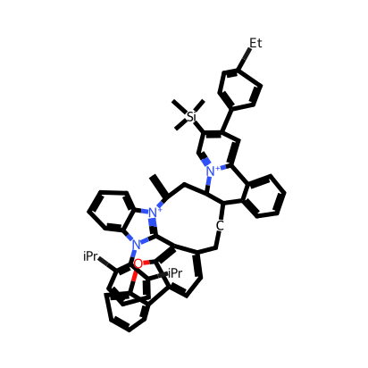 C=C1CC2C(CCc3ccc4c(oc5ccccc54)c3-c3n(-c4c(C(C)C)cccc4C(C)C)c4ccccc4[n+]31)c1ccccc1-c1cc(-c3ccc(CC)cc3)c([Si](C)(C)C)c[n+]12